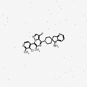 Cc1nccc(-c2c(C)nc(N3CCC4(CC3)Cc3ncccc3[C@H]4N)c3c(F)cnn23)c1Cl